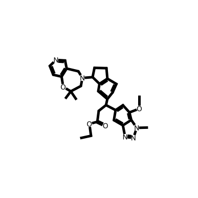 CCOC(=O)CC(c1ccc2c(c1)C(N1Cc3cnccc3OC(C)(C)C1)CC2)c1cc(OC)c2c(c1)nnn2C